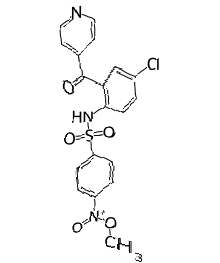 CO[N+](=O)c1ccc(S(=O)(=O)Nc2ccc(Cl)cc2C(=O)c2ccncc2)cc1